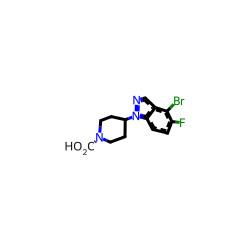 O=C(O)N1CCC(n2ncc3c(Br)c(F)ccc32)CC1